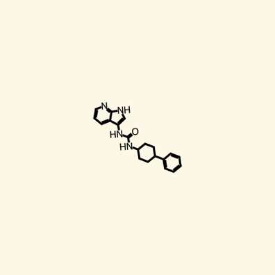 O=C(Nc1c[nH]c2ncccc12)NC1CCC(c2ccccc2)CC1